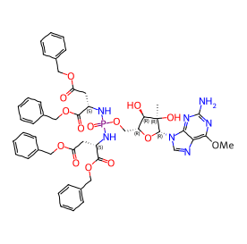 COc1nc(N)nc2c1ncn2[C@@H]1O[C@H](COP(=O)(N[C@@H](CC(=O)OCc2ccccc2)C(=O)OCc2ccccc2)N[C@@H](CC(=O)OCc2ccccc2)C(=O)OCc2ccccc2)[C@@H](O)[C@@]1(C)O